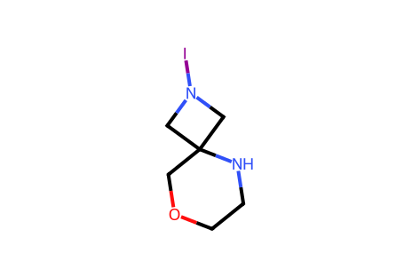 IN1CC2(COCCN2)C1